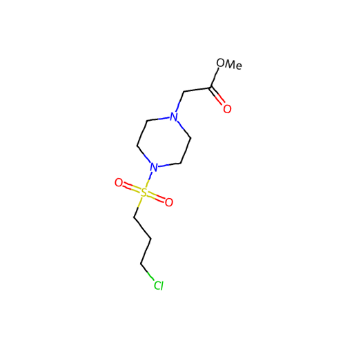 COC(=O)CN1CCN(S(=O)(=O)CCCCl)CC1